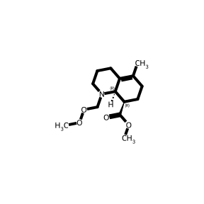 COOCN1CCCC2=C(C)CC[C@@H](C(=O)OC)[C@H]21